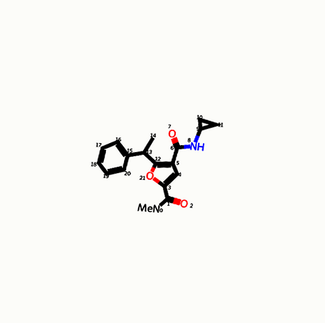 CNC(=O)c1cc(C(=O)NC2CC2)c(C(C)c2ccccc2)o1